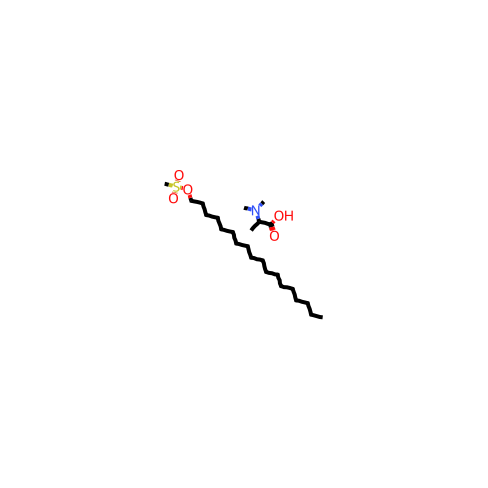 CC(C(=O)O)N(C)C.CCCCCCCCCCCCCCCCCCOS(C)(=O)=O